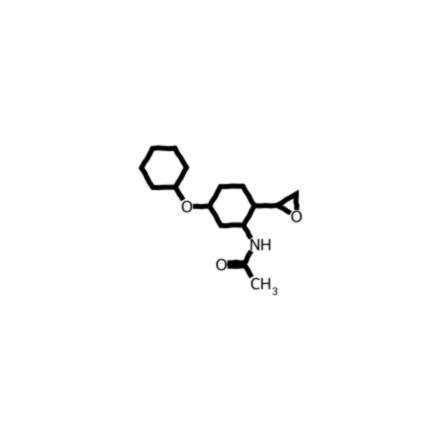 CC(=O)NC1CC(OC2CCCCC2)CCC1C1CO1